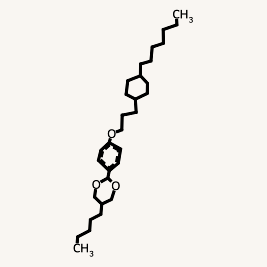 CCCCCCCC1CCC(CCCOc2ccc(C3OCC(CCCCC)CO3)cc2)CC1